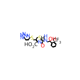 O=C(O)C1=C(CSc2ccc3nnnn3n2)CS[C@H]2C(NCC(O)c3ccccc3C(F)(F)F)C(=O)N12